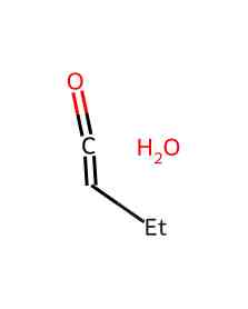 CCC=C=O.O